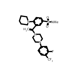 C=C(c1cc(S(=O)(=O)NC)ccc1N1CCCCC1)N1CCN(c2ccc(C(F)(F)F)c(F)c2)CC1